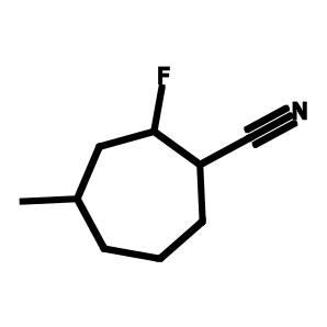 CC1CCCC(C#N)C(F)C1